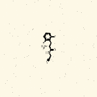 N#CCNC(=O)[C@@H](N)Cc1c(F)cccc1F